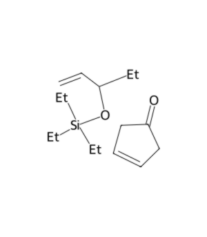 C=CC(CC)O[Si](CC)(CC)CC.O=C1CC=CC1